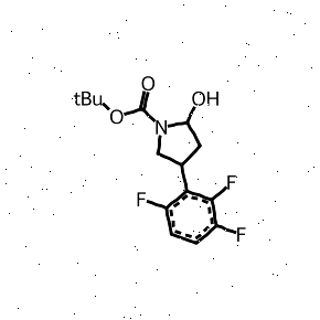 CC(C)(C)OC(=O)N1CC(c2c(F)ccc(F)c2F)CC1O